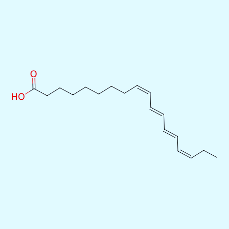 CC\C=C/C=C/C=C/C=C\CCCCCCCC(=O)O